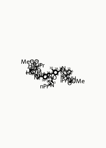 CCCc1ncc(C2Oc3cc(-c4cnc([C@@H]5CCCN5C(=O)[C@@H](NC(=O)OC)C(C)C)[nH]4)cc(C)c3-c3cc4cc(-c5cnc([C@@H]6C[C@H]7C[C@H]7N6C(=O)[C@@H](NC(=O)OC)C(C)C)[nH]5)ccc4n32)s1